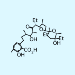 CC[C@@H](C(=O)[C@@H](C)[C@@H](O)[C@H](C)CCc1ccc(C)c(O)c1C(=O)O)[C@H]1O[C@](CC)([C@@]2(C)CC[C@](O)(CC)[C@H](C)O2)C[C@@H]1C